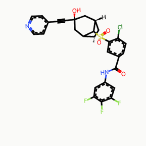 C[C@H]1C[C@H]2C[C@@](O)(C#Cc3ccncc3)CC1C2S(=O)(=O)c1cc(C(=O)Nc2cc(F)c(F)c(F)c2)ccc1Cl